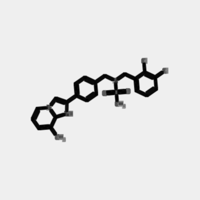 CC1=CC=CN2C=C(c3ccc(CN(Cc4cccc(Cl)c4Cl)S(C)(=O)=O)cc3)NC12